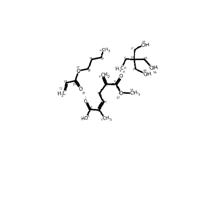 C=C(CC=C(C)C(=O)O)C(=O)OC.C=CC(=O)OCCCC.CCC(CO)(CO)CO